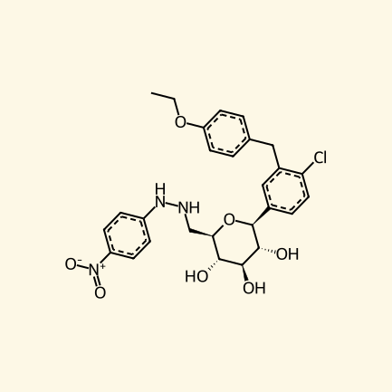 CCOc1ccc(Cc2cc([C@@H]3O[C@H](CNNc4ccc([N+](=O)[O-])cc4)[C@@H](O)[C@H](O)[C@H]3O)ccc2Cl)cc1